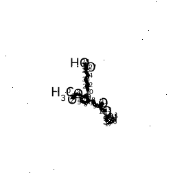 CC(=O)OC1CC[C@H](C=CC(=O)COc2nccs2)[C@H]1CC=CCCCC(=O)O